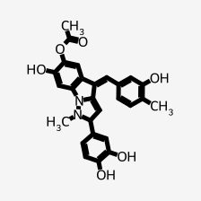 CC(=O)Oc1cc2/c(=C/c3ccc(C)c(O)c3)c3n(c2cc1O)N(C)C(c1ccc(O)c(O)c1)C=3